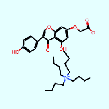 CCCC[N+](CCCC)(CCCC)CCCC.O=C([O-])COc1cc(O)c2c(=O)c(-c3ccc(O)cc3)coc2c1